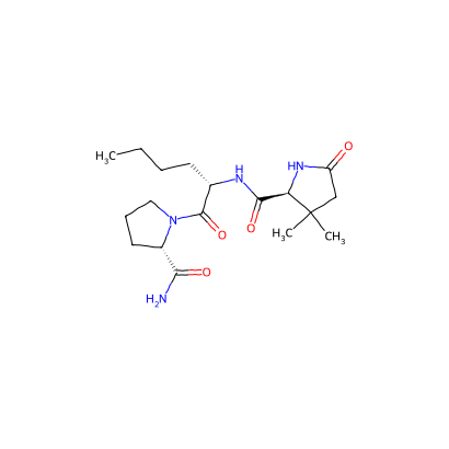 CCCC[C@H](NC(=O)[C@H]1NC(=O)CC1(C)C)C(=O)N1CCC[C@H]1C(N)=O